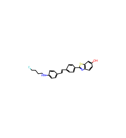 Oc1ccc2nc(-c3ccc(/C=C/c4ccc(NCCCCF)cc4)cc3)sc2c1